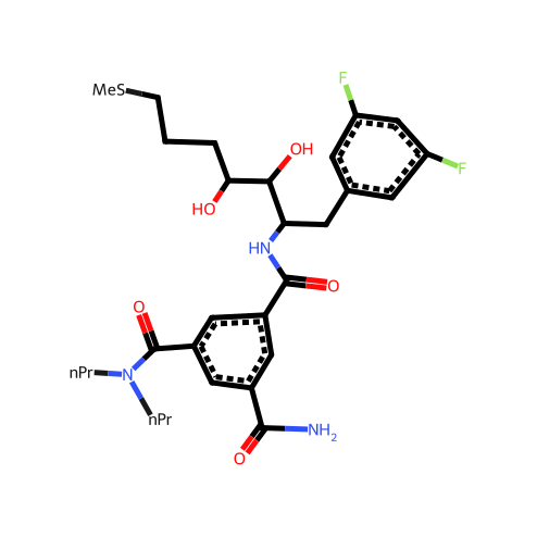 CCCN(CCC)C(=O)c1cc(C(N)=O)cc(C(=O)NC(Cc2cc(F)cc(F)c2)C(O)C(O)CCCSC)c1